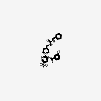 CS(=O)(=O)c1cnc(N2CCC(CNC(=O)NCc3ccccc3)CC2)c(NC(=O)c2cccc(Cl)c2)c1